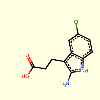 Nc1[nH]c2ccc(Cl)cc2c1CCC(=O)O